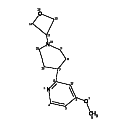 COc1ccnc(C2CCN(C3COC3)CC2)c1